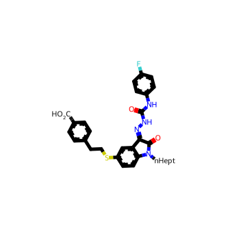 CCCCCCCN1C(=O)/C(=N\NC(=O)Nc2ccc(F)cc2)c2cc(SCCc3ccc(C(=O)O)cc3)ccc21